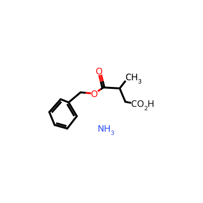 CC(CC(=O)O)C(=O)OCc1ccccc1.N